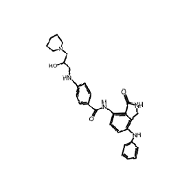 O=C(Nc1ccc(Nc2ccccc2)c2c1C(=O)NC2)c1ccc(NCC(O)CN2CCCCC2)cc1